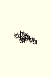 O=C(NC(CO)c1ccccc1)c1nn(-c2ccc(Cl)cc2)ccc1=O